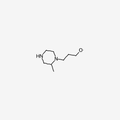 CC1CNCCN1CCC[O]